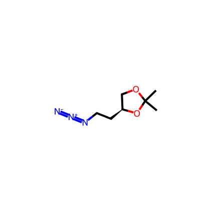 CC1(C)OC[C@H](CCN=[N+]=[N-])O1